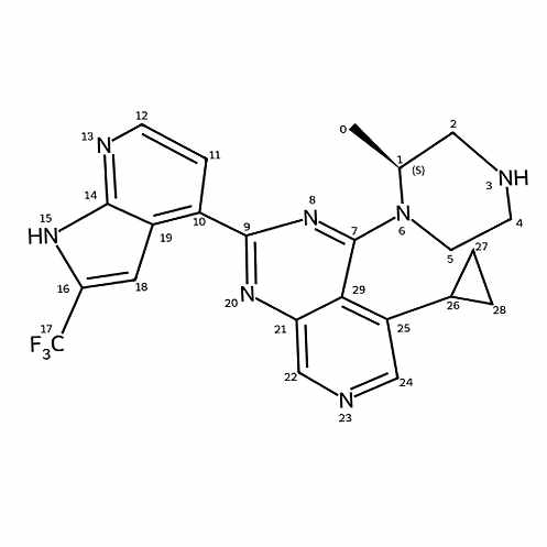 C[C@H]1CNCCN1c1nc(-c2ccnc3[nH]c(C(F)(F)F)cc23)nc2cncc(C3CC3)c12